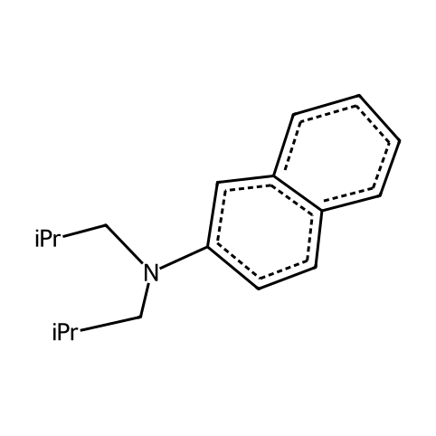 CC(C)CN(CC(C)C)c1ccc2ccccc2c1